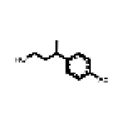 CC(=O)c1ccc(C(C)CCO)cc1